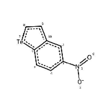 O=[N+]([O-])c1ccc2[te]ccc2c1